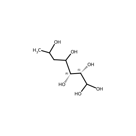 CC(O)CC(O)[C@@H](O)[C@H](O)C(O)O